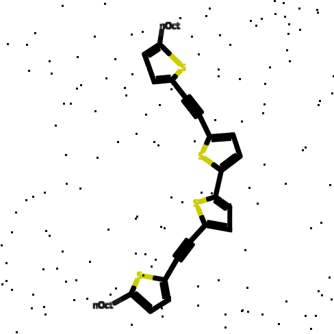 CCCCCCCCc1ccc(C#Cc2ccc(-c3ccc(C#Cc4ccc(CCCCCCCC)s4)s3)s2)s1